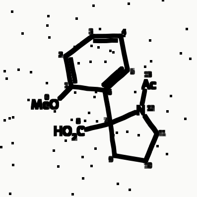 COc1ccccc1C1(C(=O)O)CCCN1C(C)=O